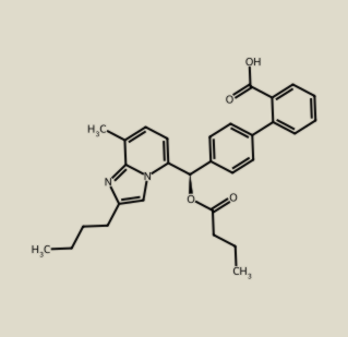 CCCCc1cn2c([C@H](OC(=O)CCC)c3ccc(-c4ccccc4C(=O)O)cc3)ccc(C)c2n1